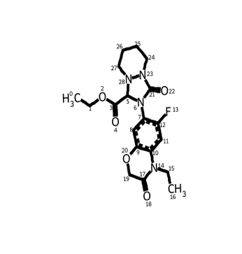 CCOC(=O)C1N(c2cc3c(cc2F)N(CC)C(=O)CO3)C(=O)N2CCCCN12